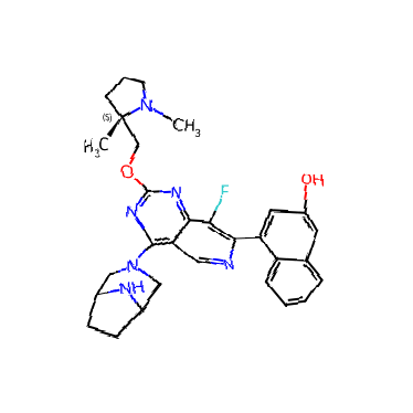 CN1CCC[C@@]1(C)COc1nc(N2CC3CCC(C2)N3)c2cnc(-c3cc(O)cc4ccccc34)c(F)c2n1